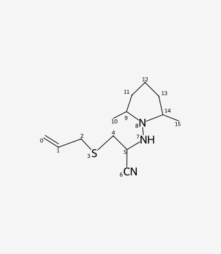 C=CCSCC(C#N)NN1C(C)CCCC1C